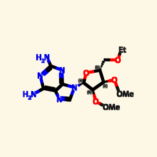 CCOC[C@H]1O[C@@H](n2cnc3c(N)nc(N)nc32)[C@H](OOC)[C@@H]1OOC